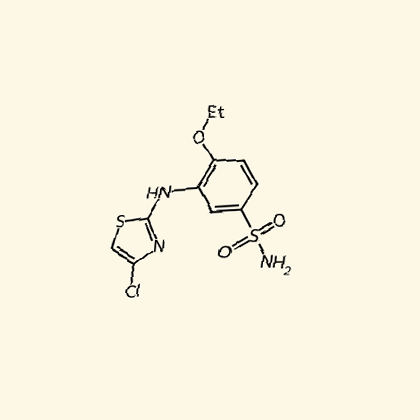 CCOc1ccc(S(N)(=O)=O)cc1Nc1nc(Cl)cs1